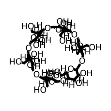 C[C@H]1C2OC3O[C@H](CO)[C@@H](OC4O[C@H](CO)C(OC5O[C@H](CO)C(OC6O[C@H](CO)[C@@H](OC7O[C@H](CO)[C@@H](OC(O[C@@H]2CO)[C@@H]1O)[C@H](O)C7O)[C@H](O)[C@H]6O)[C@H](O)[C@H]5O)[C@H](O)[C@H]4O)[C@H](O)[C@H]3O